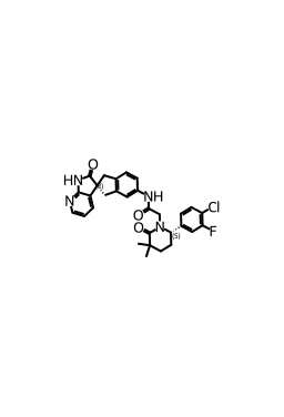 CC1(C)CC[C@@H](c2ccc(Cl)c(F)c2)N(CC(=O)Nc2ccc3c(c2)C[C@@]2(C3)C(=O)Nc3ncccc32)C1=O